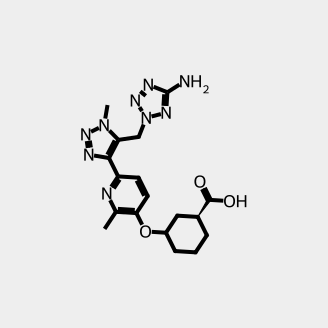 Cc1nc(-c2nnn(C)c2Cn2nnc(N)n2)ccc1OC1CCC[C@H](C(=O)O)C1